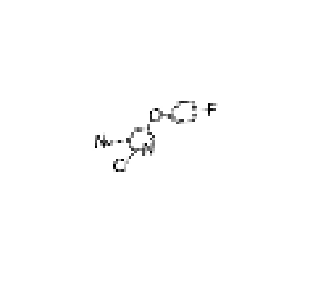 N#Cc1cc(Oc2ccc(F)cc2)cnc1Cl